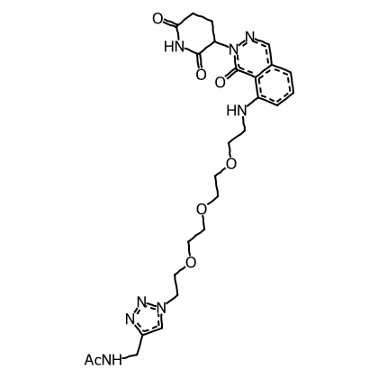 CC(=O)NCc1cn(CCOCCOCCOCCNc2cccc3cnn(C4CCC(=O)NC4=O)c(=O)c23)nn1